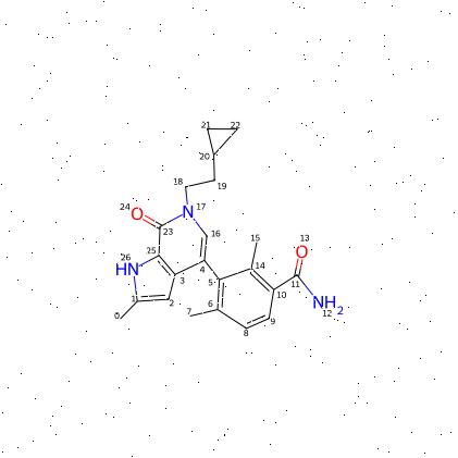 Cc1cc2c(-c3c(C)ccc(C(N)=O)c3C)cn(CCC3CC3)c(=O)c2[nH]1